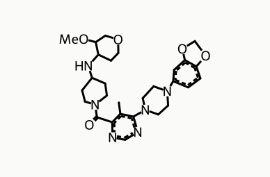 COC1COCCC1NC1CCN(C(=O)c2ncnc(N3CCN(c4ccc5c(c4)OCO5)CC3)c2C)CC1